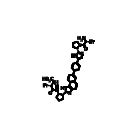 CC(C)[C@H](N)C(=O)N1CCC[C@H]1c1ncc(-c2ccc(-c3ccc4c(ccc5nc([C@H]6CCC[C@@H]6NC(=O)[C@@H](NC(=O)O)C(C)C)[nH]c54)c3)cc2)[nH]1